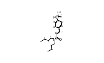 CCCCN(CCCC)C(=O)C=Cc1ccc(C(F)(F)F)cc1